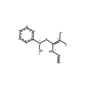 C=CNC(CN(c1ccccc1)C(C)C)=C(C)C